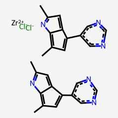 CC1=NC2=C(C)C=C(c3cncnc3)C2=C1.CC1=NC2=C(C)C=C(c3cncnc3)C2=C1.[Cl-].[Cl-].[Zr+2]